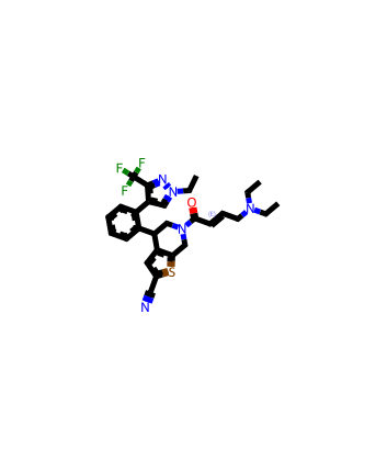 CCN(CC)C/C=C/C(=O)N1Cc2sc(C#N)cc2C(c2ccccc2-c2cn(CC)nc2C(F)(F)F)C1